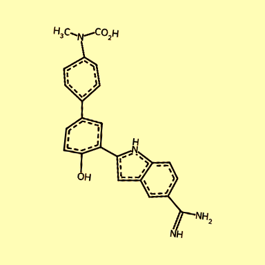 CN(C(=O)O)c1ccc(-c2ccc(O)c(-c3cc4cc(C(=N)N)ccc4[nH]3)c2)cc1